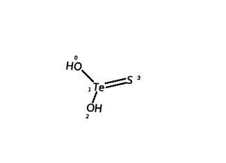 O[Te](O)=S